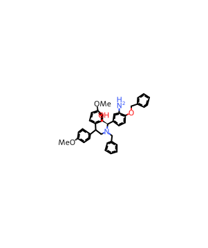 COc1ccc(C(CN(Cc2ccccc2)[C@@H](CO)c2ccc(OCc3ccccc3)c(N)c2)c2ccc(OC)cc2)cc1